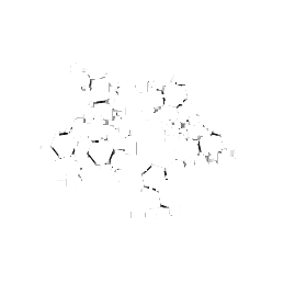 O=C(O)c1cccc(COc2nc(Cl)cnc2NS(=O)(=O)c2cccc(Cl)c2Cl)c1.O=S(=O)(Nc1ncc(Cl)nc1OCc1cccc(CO)c1)c1cccc(Cl)c1Cl